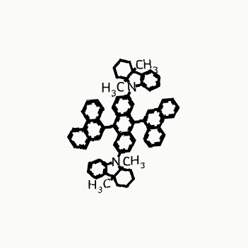 CC12CCCCC1(C)N(c1ccc3c(-c4cc5ccccc5c5ccccc45)c4cc(N5c6ccccc6C6(C)CCCCC56C)ccc4c(-c4cc5ccccc5c5ccccc45)c3c1)c1ccccc12